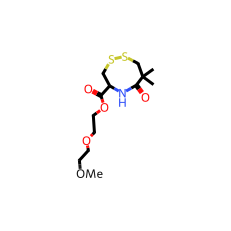 COCCOCCOC(=O)C1CSSCC(C)(C)C(=O)N1